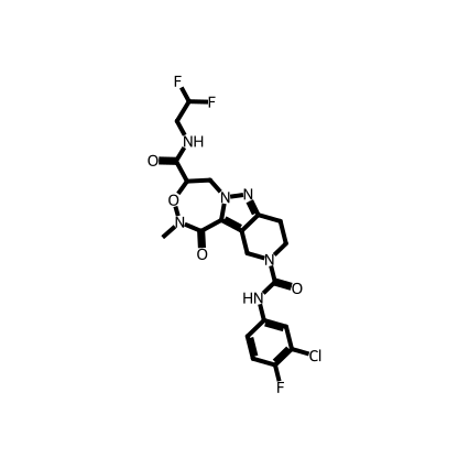 CN1OC(C(=O)NCC(F)F)Cn2nc3c(c2C1=O)CN(C(=O)Nc1ccc(F)c(Cl)c1)CC3